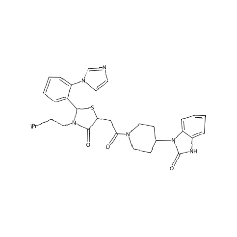 CC(C)CCN1C(=O)C(CC(=O)N2CCC(n3c(=O)[nH]c4ccccc43)CC2)SC1c1ccccc1-n1ccnc1